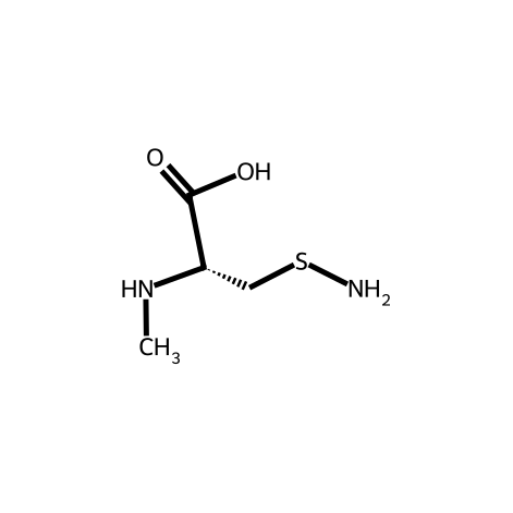 CN[C@@H](CSN)C(=O)O